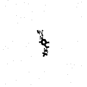 CCN(C)C=Nc1cc(C)c(/C(C)=N/OC(C)(C)C)cc1C